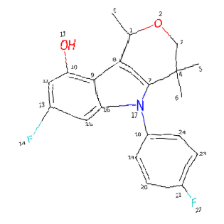 CC1OCC(C)(C)c2c1c1c(O)cc(F)cc1n2-c1ccc(F)cc1